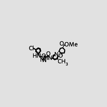 COC(=O)[C@H]1CC[C@H](Oc2ncc(NC(=O)c3nnc(Nc4cccc(Cl)c4)o3)cc2C)CC1